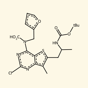 Cc1c(CC(C)NC(=O)OC(C)(C)C)sc2c(N(Cc3ccco3)C(=O)O)nc(Cl)nc12